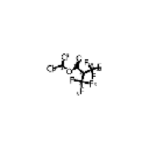 O=C(OC(Cl)Cl)C(C(F)(F)F)C(F)(F)F